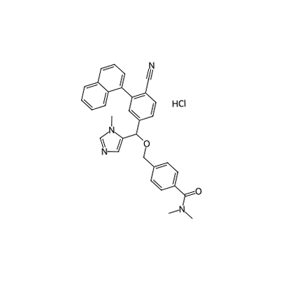 CN(C)C(=O)c1ccc(COC(c2ccc(C#N)c(-c3cccc4ccccc34)c2)c2cncn2C)cc1.Cl